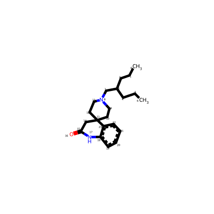 CCCC(CCC)CN1CCC2(CC1)CC(=O)Nc1ccccc12